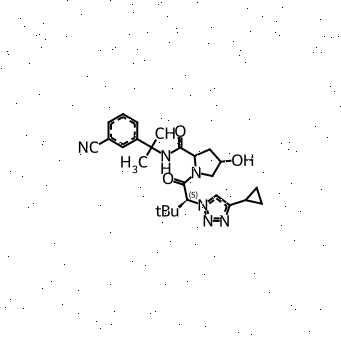 CC(C)(NC(=O)C1CC(O)CN1C(=O)[C@@H](n1cc(C2CC2)nn1)C(C)(C)C)c1cccc(C#N)c1